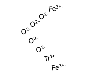 [Fe+3].[Fe+3].[O-2].[O-2].[O-2].[O-2].[O-2].[Ti+4]